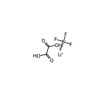 F[B-](F)(F)F.O=C(O)C(=O)O.[Li+]